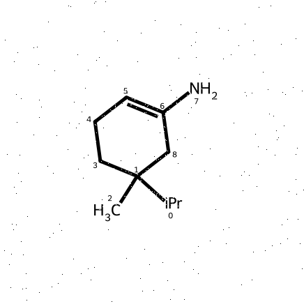 CC(C)C1(C)CCC=C(N)C1